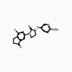 CC(C)COc1ccc(O[C@@H]2CCN(c3cc(F)c4c(c3)C(=O)CC4)C2=O)cn1